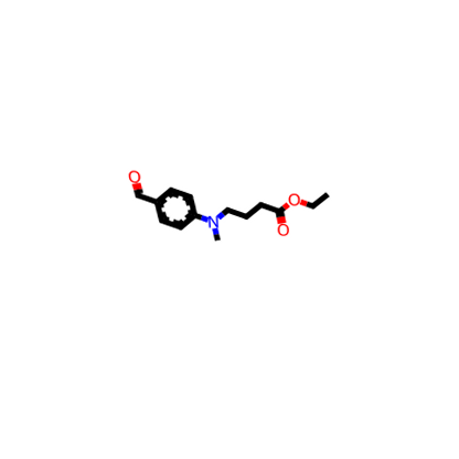 CCOC(=O)CCCN(C)c1ccc(C=O)cc1